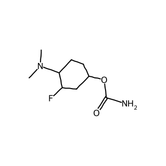 CN(C)C1CCC(OC(N)=O)CC1F